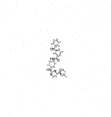 CN(C)c1ccnc(NC2CCC(NC(=O)c3cccc(C(=O)c4ccccc4)c3)CC2)n1